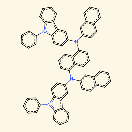 c1ccc(-n2c3ccccc3c3cc(N(c4ccc5ccccc5c4)c4cccc5c(N(c6ccc7ccccc7c6)c6ccc7c(c6)c6ccccc6n7-c6ccccc6)cccc45)ccc32)cc1